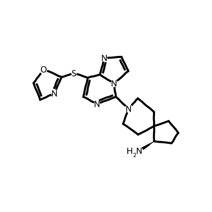 N[C@@H]1CCCC12CCN(c1ncc(Sc3ncco3)c3nccn13)CC2